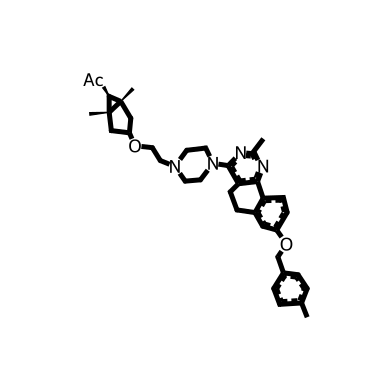 CC(=O)[C@H]1[C@]2(C)CC(OCCN3CCN(c4nc(C)nc5c4CCc4cc(OCc6ccc(C)cc6)ccc4-5)CC3)C[C@]12C